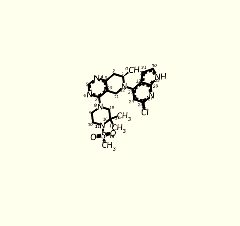 C[C@@H]1Cc2ncnc(N3CCN(S(C)(=O)=O)C(C)(C)C3)c2CN1c1cc(Cl)nc2[nH]ccc12